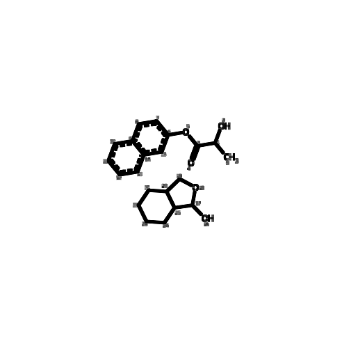 CC(O)C(=O)Oc1ccc2ccccc2c1.OC1OCC2CCCCC21